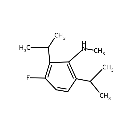 CNc1c(C(C)C)ccc(F)c1C(C)C